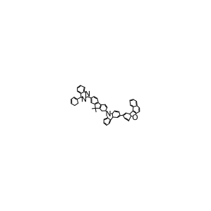 CC1(C)C2=C(C=CC(N3c4ccccc4C4C=C(C5=CC6c7c(ccc8ccccc78)OC6C=C5)C=CC43)C2)c2ccc(-c3nc(C4=CC=CCC4)c4ccccc4n3)cc21